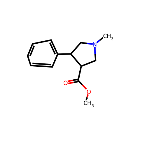 COC(=O)C1CN(C)CC1c1ccccc1